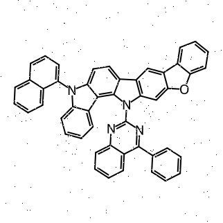 c1ccc(-c2nc(-n3c4cc5oc6ccccc6c5cc4c4ccc5c(c6ccccc6n5-c5cccc6ccccc56)c43)nc3ccccc23)cc1